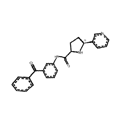 O=C(c1ccccc1)c1cccc(NC(=O)C2CC[C@@H](c3cccnc3)N2)c1